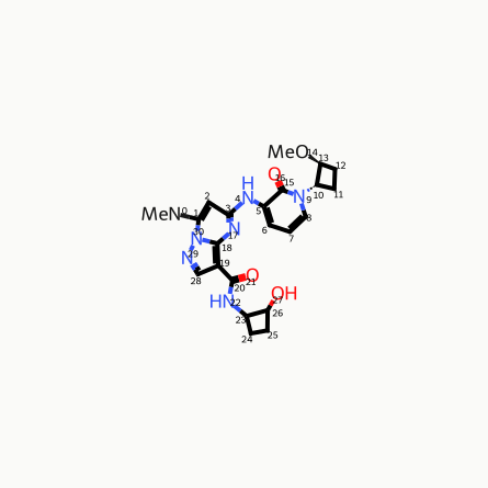 CNc1cc(Nc2cccn([C@H]3CC[C@@H]3OC)c2=O)nc2c(C(=O)NC3CCC3O)cnn12